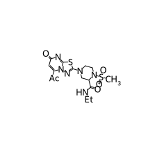 CCNC(=O)C1CN(c2nn3c(C(C)=O)cc(=O)nc3s2)CCN1S(C)(=O)=O